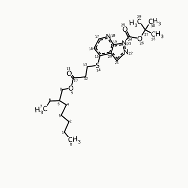 CCCCCC(CC)COC(=O)CCSc1ccnc2c1cnn2C(=O)OC(C)(C)C